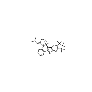 C/C=C\C(=C/C(C)C)N1c2ccccc2-c2nc3cc4c(cc3n2C1(C)C)C(C)(C)C(C)(C)C4(C)C